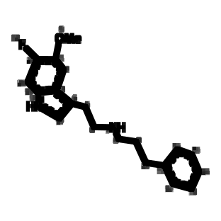 COc1cc2c(CCNCCCc3ccccc3)c[nH]c2cc1F